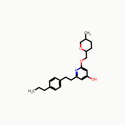 CCCc1ccc(CCc2cc(O)cc(OCC3CCC(C)CO3)n2)cc1